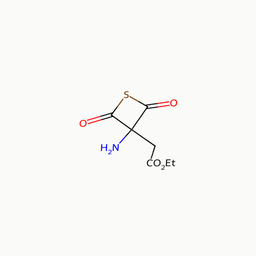 CCOC(=O)CC1(N)C(=O)SC1=O